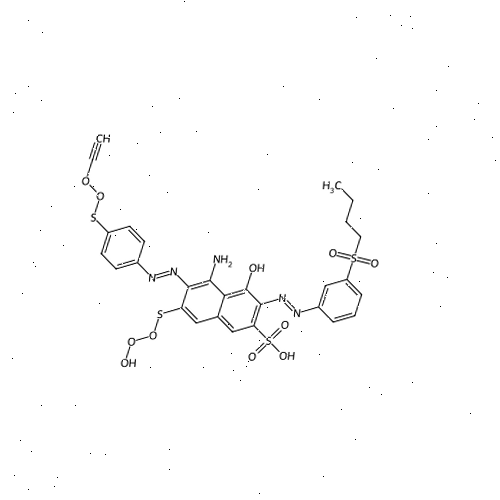 C#COOSc1ccc(N=Nc2c(SOOO)cc3cc(S(=O)(=O)O)c(N=Nc4cccc(S(=O)(=O)CCCC)c4)c(O)c3c2N)cc1